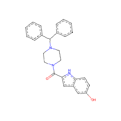 O=C(c1cc2cc(O)ccc2[nH]1)N1CCN(C(c2ccccc2)c2ccccc2)CC1